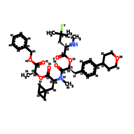 CN[C@@H](CC(C)(C)F)C(=O)O[C@H](Cc1ccc(C2CCOCC2)cc1)C(=O)N(C)[C@@H](CC12CC1C2)C(=O)O[C@H](C)C(=O)OCc1ccccc1